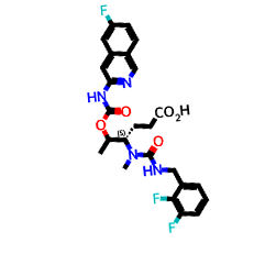 CC(OC(=O)Nc1cc2cc(F)ccc2cn1)[C@H](CCC(=O)O)N(C)C(=O)NCc1cccc(F)c1F